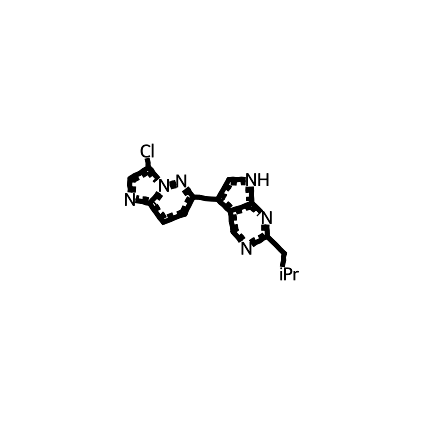 CC(C)Cc1ncc2c(-c3ccc4ncc(Cl)n4n3)c[nH]c2n1